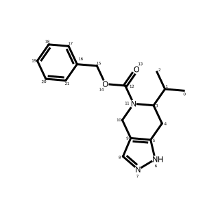 CC(C)C1Cc2[nH]ncc2CN1C(=O)OCc1ccccc1